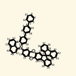 c1ccc(-c2ccc(-c3ccc(N(c4ccc5c(c4)Oc4cc6c(cc4O5)-c4ccccc4C64c5ccccc5-c5ccccc54)c4cccc5ccccc45)cc3)cc2)cc1